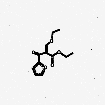 CCOC=C(C(=O)OCC)C(=O)c1ccco1